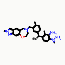 Cc1ccc(C(c2ccc(N(C)N)c(N)c2C)C(C)(C)C)cc1CN1CCOc2cc3nn(C)cc3cc2C1